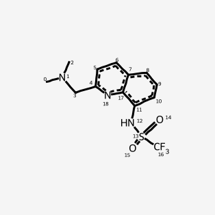 CN(C)Cc1ccc2cccc(NS(=O)(=O)C(F)(F)F)c2n1